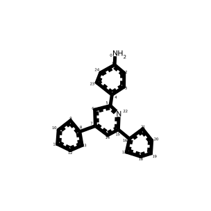 Nc1ccc(-c2cc(-c3ccccc3)cc(-c3ccccc3)n2)cc1